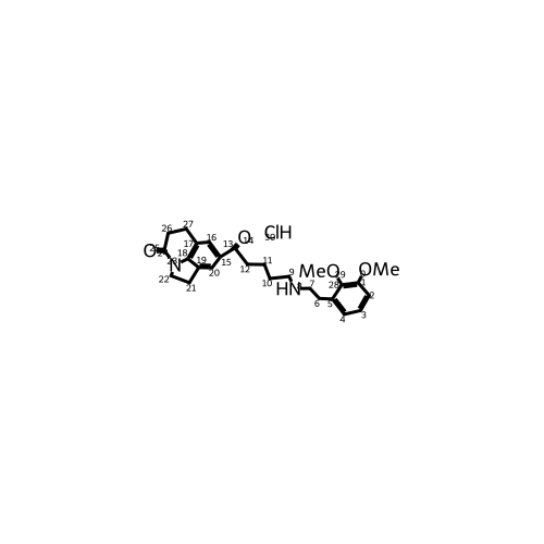 COc1cccc(CCNCCCCC(=O)c2cc3c4c(c2)CCN4C(=O)CC3)c1OC.Cl